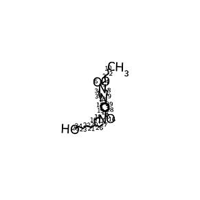 CCCCOC(=O)N1CCN(c2ccc(C(=O)N3CCC(CCCCO)CC3)cc2)CC1